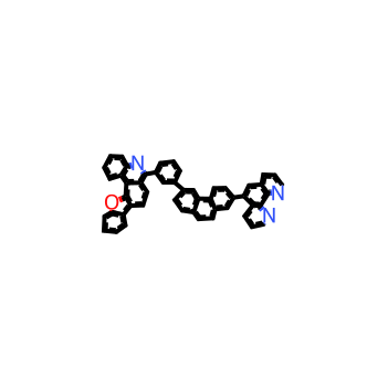 c1cc(-c2ccc3ccc4cc(-c5cc6cccnc6c6ncccc56)ccc4c3c2)cc(-c2nc3ccccc3c3c2ccc2c4ccccc4oc23)c1